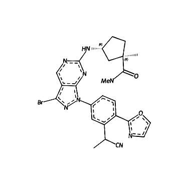 CNC(=O)[C@]1(C)CC[C@@H](Nc2ncc3c(Br)nn(-c4ccc(-c5ncco5)c(C(C)C#N)c4)c3n2)C1